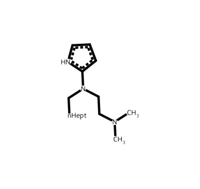 CCCCCCCCN(CCN(C)C)c1ccc[nH]1